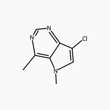 Cc1ncnc2c(Cl)cn(C)c12